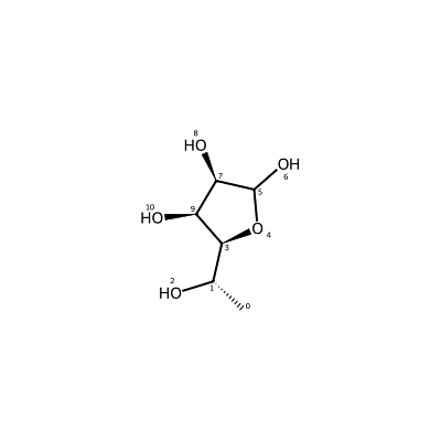 C[C@H](O)[C@@H]1OC(O)[C@H](O)[C@@H]1O